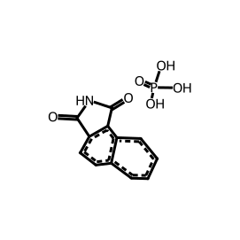 O=C1NC(=O)c2c1ccc1ccccc21.O=P(O)(O)O